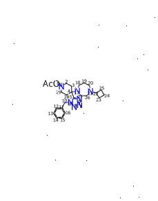 CC(=O)ON1CCC(c2nnnn2Cc2ccccc2)(N2CCCN(C3CCC3)CC2)CC1